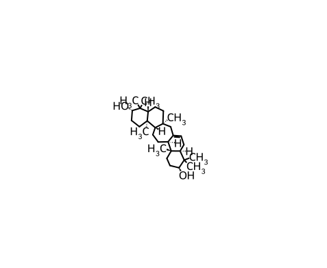 CC1(C)[C@@H](O)CC[C@@]2(C)[C@H]1CC[C@@]1(C)CC3=CC[C@H]4C(C)(C)[C@@H](O)CC[C@]4(C)[C@H]3CC[C@@H]12